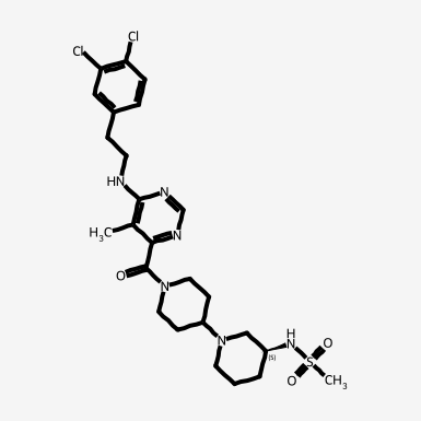 Cc1c(NCCc2ccc(Cl)c(Cl)c2)ncnc1C(=O)N1CCC(N2CCC[C@H](NS(C)(=O)=O)C2)CC1